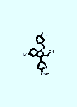 COc1ccc(-c2c(CO)n(Cc3cccc(C(F)(F)F)c3)c3ccc(C#N)cc23)cn1